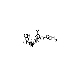 CCOC(=O)c1cnn(Cc2cn3cc(C4CC4)cc(OCCOC)c3n2)c1